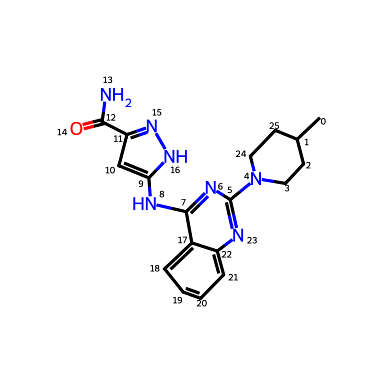 CC1CCN(c2nc(Nc3cc(C(N)=O)n[nH]3)c3ccccc3n2)CC1